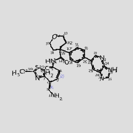 C=C(/C=C\C(=C/N)c1csc(C)n1)NC(=O)C1(c2ccc(-c3cnc4[nH]cnc4c3)cc2)CCOCC1